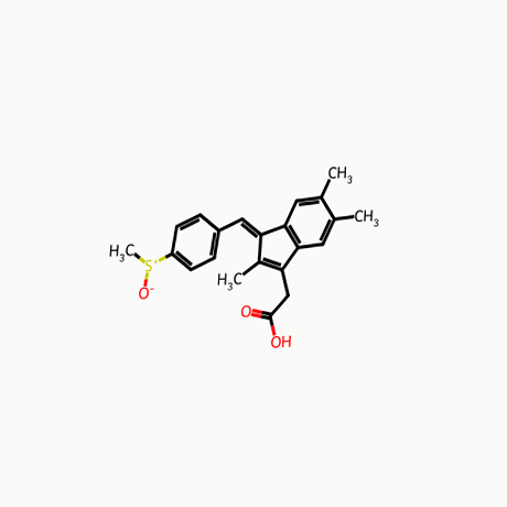 CC1=C(CC(=O)O)c2cc(C)c(C)cc2C1=Cc1ccc([S+](C)[O-])cc1